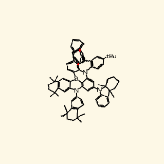 CC(C)(C)c1ccc(N2c3cc(N4c5ccccc5C5(C)CCCCC45C)cc4c3B(c3cc5c(cc3N4c3ccc4c(c3)C(C)(C)CCC4(C)C)C(C)(C)CCC5(C)C)c3ccc4c(oc5ccccc54)c32)c(-c2ccccc2)c1